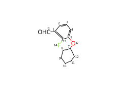 O=Cc1cccc(OC2CCCCC2)c1F